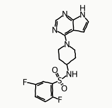 O=S(=O)(NC1CCN(c2ncnc3[nH]ccc23)CC1)c1cc(F)ccc1F